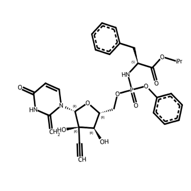 C#C[C@@]1(O)[C@H](O)[C@@H](COP(=O)(N[C@@H](Cc2ccccc2)C(=O)OC(C)C)Oc2ccccc2)O[C@H]1N1C=CC(=O)NC1=C